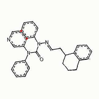 O=C(N(N=CCC1CCCc2[c]cccc21)c1ccccc1)N(c1ccccc1)c1cccnc1